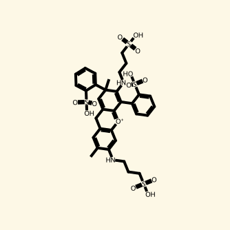 Cc1cc2c(cc1NCCCS(=O)(=O)O)[O+]=C1C(=CC(C)(c3ccccc3S(=O)(=O)O)C(NCCCS(=O)(=O)O)=C1c1ccccc1S(=O)(=O)O)C2